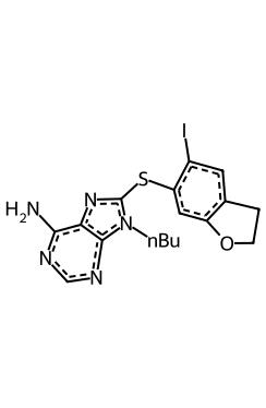 CCCCn1c(Sc2cc3c(cc2I)CCO3)nc2c(N)ncnc21